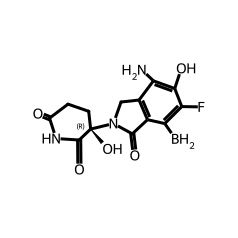 Bc1c(F)c(O)c(N)c2c1C(=O)N([C@@]1(O)CCC(=O)NC1=O)C2